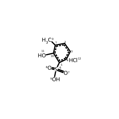 Cc1cccc(S(=O)(=O)O)c1O.Cl